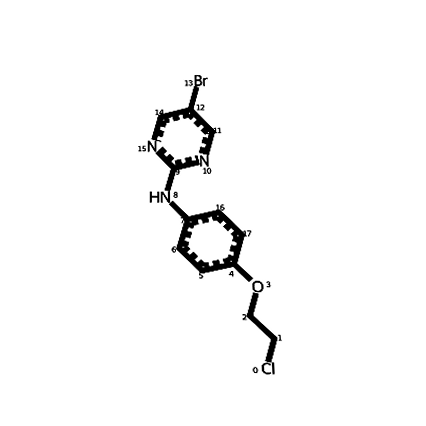 ClCCOc1ccc(Nc2ncc(Br)cn2)cc1